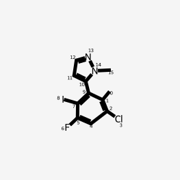 Cc1c(Cl)cc(F)c(I)c1-c1ccnn1C